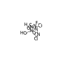 Cn1c(=O)n(CCCO)c(=O)c2c1nc(-c1ccccc1F)n2Cc1ccc(Cl)cn1